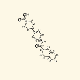 O=C(O)c1ccc(-c2ccc(NC(=O)c3ccc4ccccc4c3)cn2)cc1